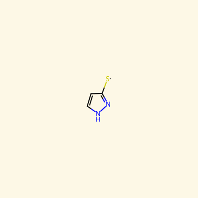 [S]c1cc[nH]n1